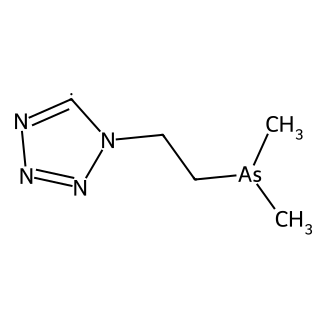 C[As](C)CCn1[c]nnn1